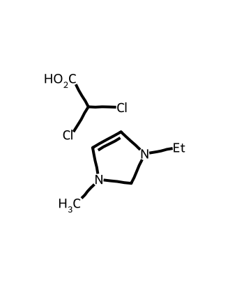 CCN1C=CN(C)C1.O=C(O)C(Cl)Cl